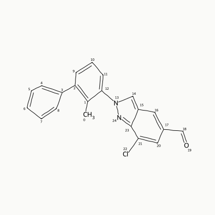 Cc1c(-c2ccccc2)cccc1-n1cc2cc(C=O)cc(Cl)c2n1